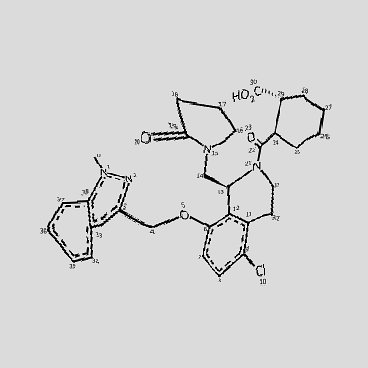 Cn1nc(COc2ccc(Cl)c3c2[C@@H](CN2CCCC2=O)N(C(=O)C2CCCC[C@H]2C(=O)O)CC3)c2ccccc21